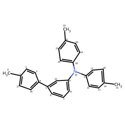 Cc1ccc(-c2cccc(N(c3ccc(C)cc3)c3ccc(C)cc3)c2)cc1